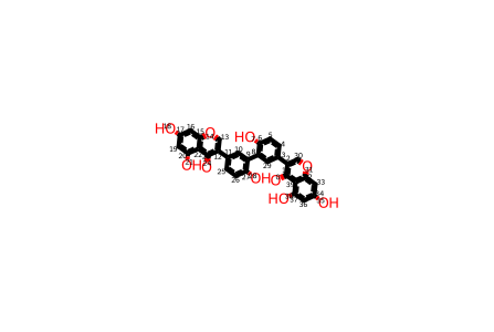 O=c1c(-c2ccc(O)c(-c3cc(-c4coc5cc(O)cc(O)c5c4=O)ccc3O)c2)coc2cc(O)cc(O)c12